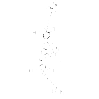 C=CC(=O)OCCCCOc1c(C)cc(C(=O)Oc2ccc(OC(=O)c3cc(C)c(OCCCCOC(=O)C=C)c(C)c3)c(OC(C)C)c2)cc1C